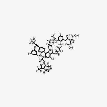 Cc1cc(CC(=O)N2[C@H](C(=O)O)CC[C@H]2C(=O)O)c(C(C)(C)CC(=O)NS(=O)(=O)Cc2nn(CC(F)(F)F)c3c(-c4ccc(C#CC(C)(C)S(C)(=O)=O)nc4[C@H](Cc4cc(F)cc(F)c4)NC(=O)Cn4nc(C(F)(F)F)c5c4C(F)(F)[C@@H]4C[C@H]54)ccc(Cl)c23)c(OP(=O)(OC(C)C)OC(C)C)c1